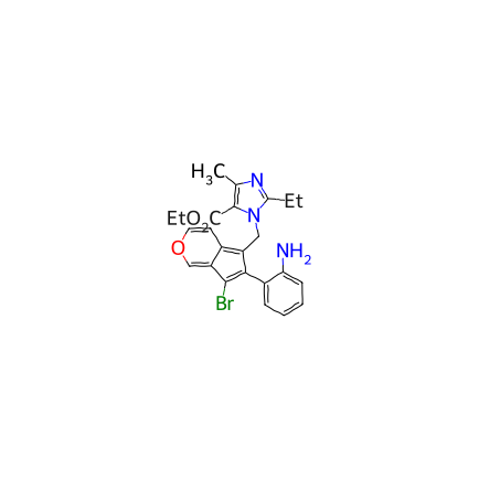 CCOC(=O)c1c(C)nc(CC)n1Cc1c2ccocc-2c(Br)c1-c1ccccc1N